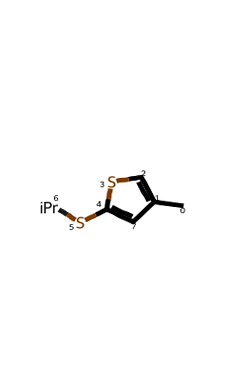 Cc1csc(SC(C)C)c1